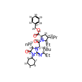 CCCCC(CC)/N=C1/N(C2CCCCC2)C(=O)C(CCC)N1[C@@H](C)C(=O)N1[C@H](C(=O)OCc2ccccc2)CC(CCC)[C@@H]1CC